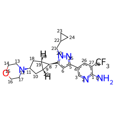 Nc1ncc(-c2cc([C@H]3[C@@H]4C[C@@H](N5CCOCC5)C[C@@H]43)n(CC3CC3)n2)cc1C(F)(F)F